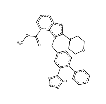 COC(=O)c1cccc2nc(N3CCOCC3)n(Cc3ccc(-c4ccccc4)c(-c4nnn[nH]4)c3)c12